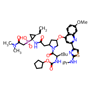 C=C[C@@H]1C[C@]1(NC(=O)CC1C[C@@H](Oc2cc(-c3csc(NC(C)C)n3)nc3cc(OC)ccc23)CN1C(=O)C(NC(=O)OC1CCCC1)C(C)(C)C)P(=O)(O)CC(=O)N(C)C